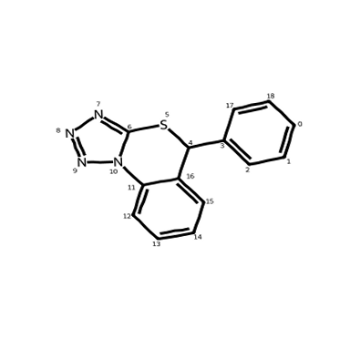 c1ccc(C2Sc3nnnn3-c3ccccc32)cc1